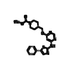 CC(C)(C)OC(=O)N1CCC(COc2cc(Nc3ncc(-c4ccccc4)s3)ncn2)CC1